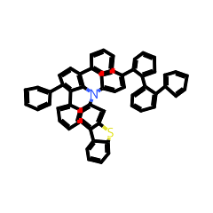 c1ccc(-c2ccccc2-c2ccccc2-c2ccc(N(c3ccc4c(c3)sc3ccccc34)c3c(-c4ccccc4)ccc(-c4ccccc4)c3-c3ccccc3)cc2)cc1